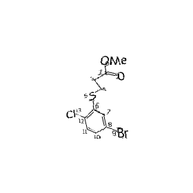 COC(=O)CCSc1cc(Br)ccc1Cl